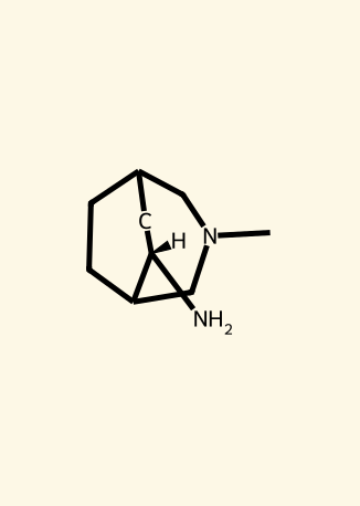 CN1CC2CCC(C1)[C@@H](N)C2